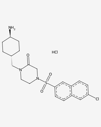 Cl.N[C@H]1CC[C@H](CN2CCN(S(=O)(=O)c3ccc4cc(Cl)ccc4c3)CC2=O)CC1